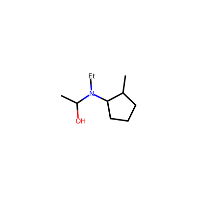 CCN(C(C)O)C1CCCC1C